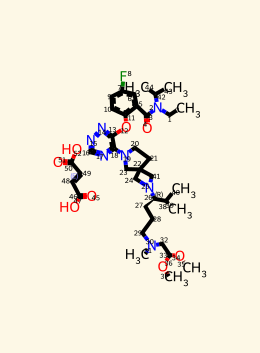 CCN(C(=O)c1cc(F)ccc1Oc1nncnc1N1CCC2(C1)CN([C@H](CCCN(C)CC(OC)OC)C(C)C)C2)C(C)C.O=C(O)/C=C/C(=O)O